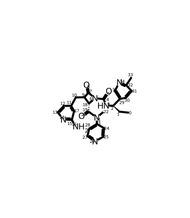 CC[C@@H](NC(=O)N1C(=O)C(Cc2ccnc(N)c2)[C@H]1C(=O)N(C)c1ccncc1)c1ccc(C)nc1